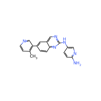 Cc1ccncc1-c1ccc2nc(Nc3ccc(N)nc3)ncc2c1